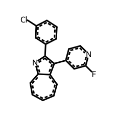 Fc1cc(-c2c3cccccc-3nc2-c2cccc(Cl)c2)ccn1